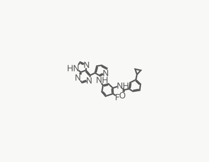 O=C(Nc1cc(Nc2ncccc2-c2ncnc3[nH]cnc23)ccc1F)c1cccc(C2CC2)c1